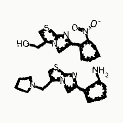 Nc1ccccc1-c1cn2c(CN3CCCC3)csc2n1.O=[N+]([O-])c1ccccc1-c1cn2c(CO)csc2n1